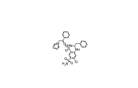 NS(=O)(=O)c1cc2c(cc1Cl)NC(Cc1ccccc1)NS2(=O)=O.O=C(C[n+]1ccsc1)c1ccccc1